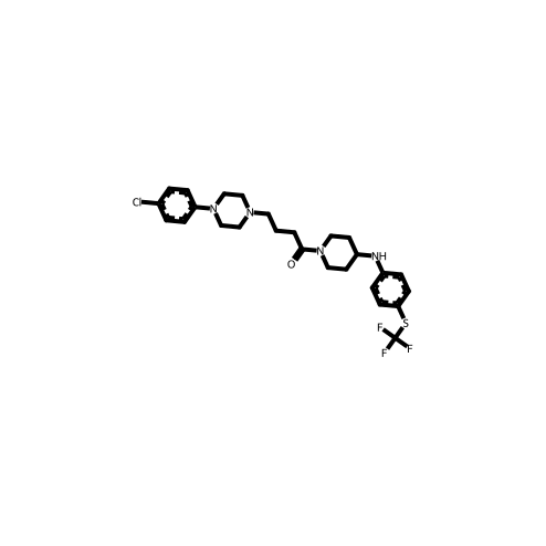 O=C(CCCN1CCN(c2ccc(Cl)cc2)CC1)N1CCC(Nc2ccc(SC(F)(F)F)cc2)CC1